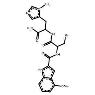 COc1cccc2[nH]c(C(=O)NC(CC(C)C)C(=O)NC(Cc3cncn3C)C(N)=O)cc12